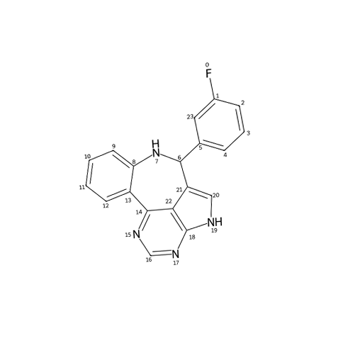 Fc1cccc(C2Nc3ccccc3-c3ncnc4[nH]cc2c34)c1